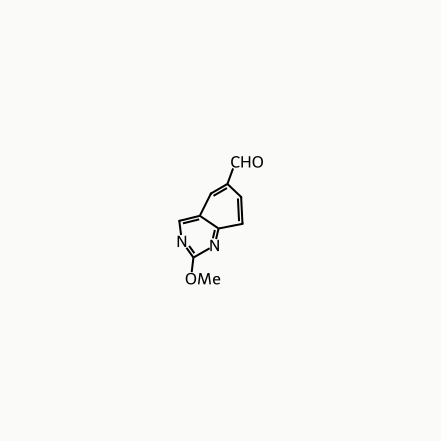 COc1ncc2cc(C=O)ccc2n1